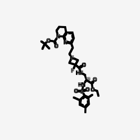 CCOC(=O)[C@H](CNC(=O)C1(F)CN(CCc2ccc3c(n2)N(C(=O)OC(C)(C)C)CCC3)C1)NS(=O)(=O)c1c(C)cc(C)cc1C